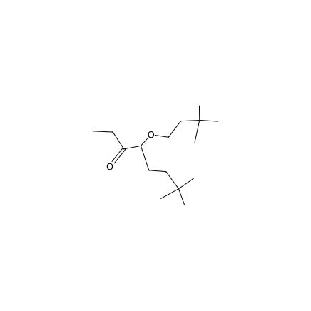 CCC(=O)C(CCC(C)(C)C)OCCC(C)(C)C